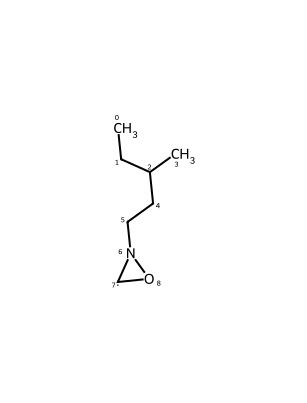 CCC(C)CCN1[CH]O1